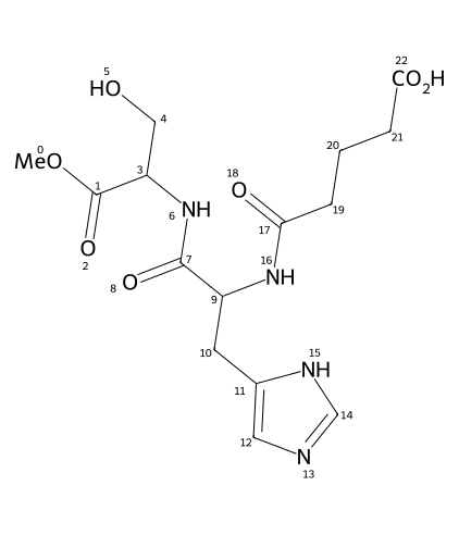 COC(=O)C(CO)NC(=O)C(Cc1cnc[nH]1)NC(=O)CCCC(=O)O